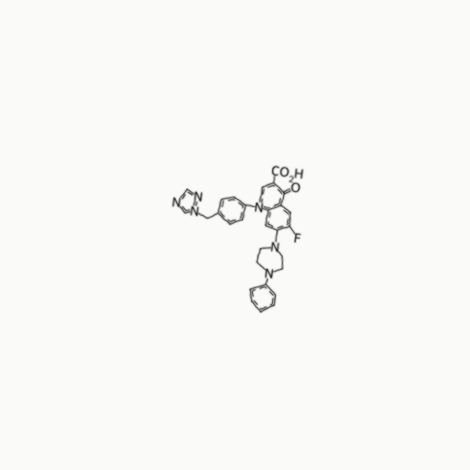 O=C(O)c1cn(-c2ccc(Cn3cncn3)cc2)c2cc(N3CCN(c4ccccc4)CC3)c(F)cc2c1=O